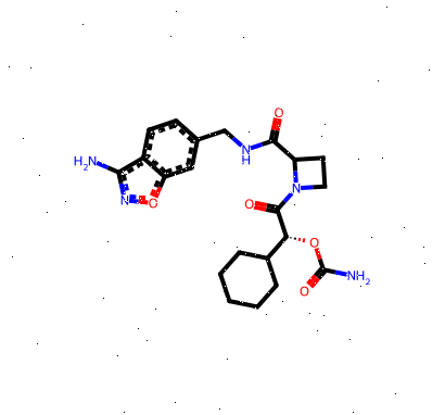 NC(=O)O[C@@H](C(=O)N1CCC1C(=O)NCc1ccc2c(N)noc2c1)C1CCCCC1